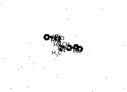 Cc1nc(NCC(NC(=O)OCC2CCCCC2)C(=O)O)c(C)c(N2CCC(c3ccc4c(n3)NCCC4)CC2)n1